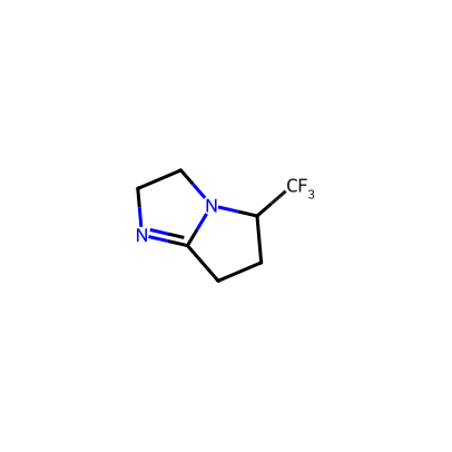 FC(F)(F)C1CCC2=NCCN21